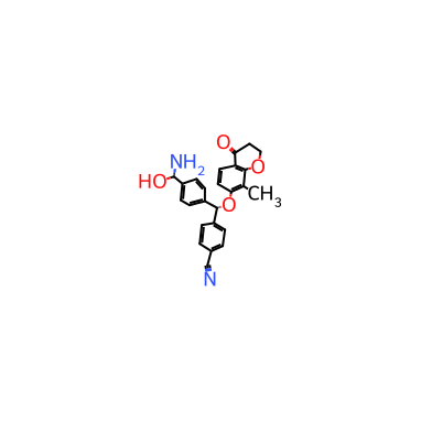 Cc1c(O[C@H](c2ccc(C#N)cc2)c2ccc([C@H](N)O)cc2)ccc2c1OCCC2=O